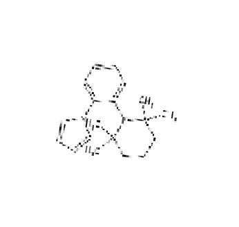 CC1(C)CCCC(C)(C)P1c1ccccc1-n1cccc1